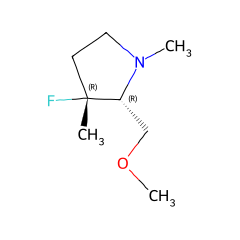 COC[C@H]1N(C)CC[C@@]1(C)F